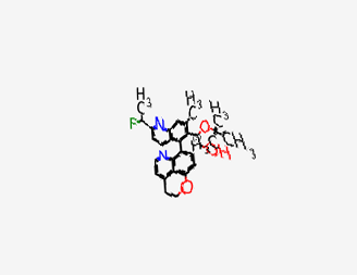 Cc1cc2nc(C(C)F)ccc2c(-c2ccc3c4c(ccnc24)CCO3)c1[C@@H](CO)OC(C)(C)C